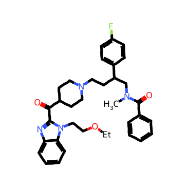 CCOCCn1c(C(=O)C2CCN(CCC(CN(C)C(=O)c3ccccc3)c3ccc(F)cc3)CC2)nc2ccccc21